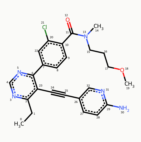 CCc1ncnc(-c2ccc(C(=O)N(C)CCCOC)c(Cl)c2)c1C#Cc1ccc(N)nc1